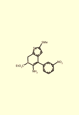 CCOC(=O)N1Cc2sc(SC)cc2C(c2cccc([N+](=O)[O-])c2)=C1N